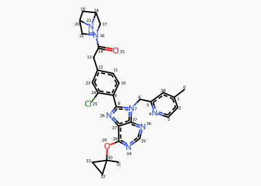 Cc1ccnc(Cn2c(-c3ccc(CC(=O)N4CC5CC(C4)N5)cc3Cl)nc3c(OC4(C)CC4)ncnc32)c1